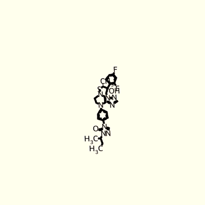 CCC(C)n1ncn(-c2ccc(N3CCN(S[C@H](C)[C@](O)(Cn4cncn4)c4ccc(F)cc4F)CC3)cc2)c1=O